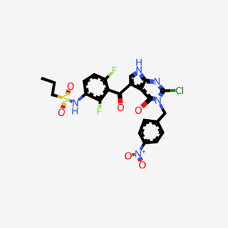 CCCS(=O)(=O)Nc1ccc(F)c(C(=O)c2c[nH]c3nc(Cl)n(Cc4ccc([N+](=O)[O-])cc4)c(=O)c23)c1F